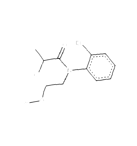 CCc1ccccc1N(CCOC(C)C)C(=O)C(C)Cl